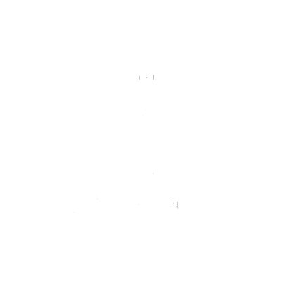 CCCCOc1cccc2c1C13C=CC(=O)CC1N(CC3)C2